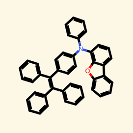 c1ccc(C(=C(c2ccccc2)c2ccc(N(c3ccccc3)c3cccc4c3oc3ccccc34)cc2)c2ccccc2)cc1